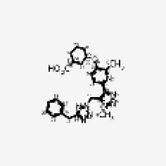 Cc1nc(-c2nnn(C)c2Cn2nnc(Cc3ccccc3)n2)ccc1O[C@H]1CCC[C@H](C(=O)O)C1